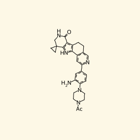 CC(=O)N1CCN(c2ccc(-c3cc4c(cn3)CCc3c-4[nH]c4c3C(=O)NCC43CC3)cc2N)CC1